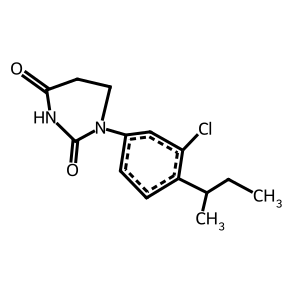 CCC(C)c1ccc(N2CCC(=O)NC2=O)cc1Cl